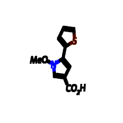 COn1cc(C(=O)O)cc1-c1cccs1